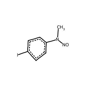 CN(N=O)c1ccc(I)cc1